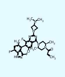 C=CC(=O)N1C[C@H](C)N(c2nc(N3CC(N(C)C)C3)nc3c(F)c(-c4c(C)cc(F)c5[nH]nc(F)c45)c(Cl)cc23)C[C@H]1C